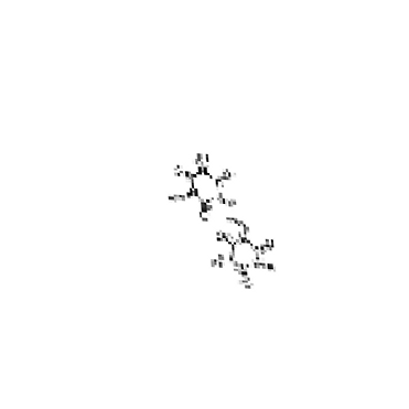 CCN1C(=O)C(=CC=Cc2c(O)n(CC)c(=S)n(CC)c2=O)C(=O)N(CC)C1=S